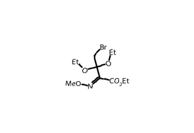 CCOC(=O)C(=NOC)C(CBr)(OCC)OCC